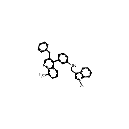 CC(=O)n1cc(CNc2cccc(-c3c(Cc4ccccc4)cnc4c(C(F)(F)F)cccc34)c2)c2ccccc21